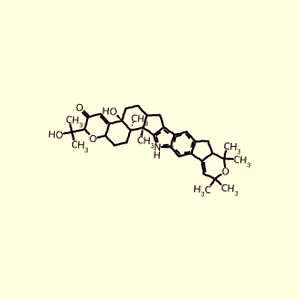 CC1(C)C=C2c3cc4[nH]c5c(c4cc3CC2C(C)(C)O1)CC1CC[C@@]2(O)C3=CC(=O)C(C(C)(C)O)OC3CC[C@]2(C)[C@@]51C